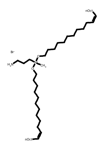 CCCCCCCC/C=C\CCCCCCCCCCO[N+](C)(CCCN)OCCCCCCCCCC/C=C\CCCCCCCC.[Br-]